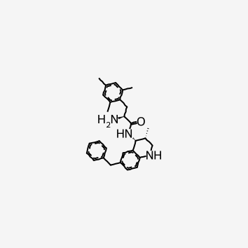 Cc1cc(C)c(C[C@H](N)C(=O)N[C@H]2c3cc(Cc4ccccc4)ccc3NC[C@H]2C)c(C)c1